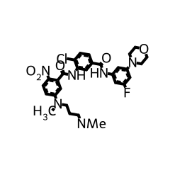 CNCCCN(C)c1ccc([N+](=O)[O-])c(C(=O)Nc2cc(C(=O)Nc3cc(F)cc(N4CCOCC4)c3)ccc2Cl)c1